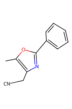 [C-]#[N+]Cc1nc(-c2ccccc2)oc1C